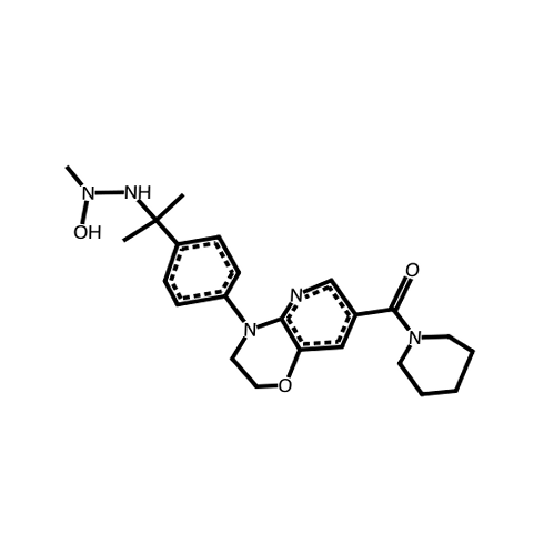 CN(O)NC(C)(C)c1ccc(N2CCOc3cc(C(=O)N4CCCCC4)cnc32)cc1